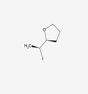 C[C@H](I)[C@@H]1CCCO1